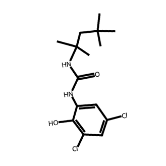 CC(C)(C)CC(C)(C)NC(=O)Nc1cc(Cl)cc(Cl)c1O